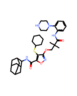 CC(C)(COc1noc(C(=O)NC2C3CC4CC(C3)CC2C4)c1SC1CCCCC1)C(=O)Nc1ccccc1N1CCNCC1